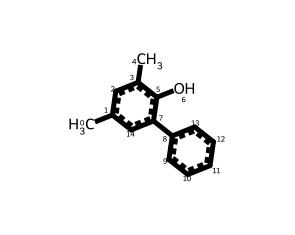 Cc1cc(C)c(O)c(-c2ccccc2)c1